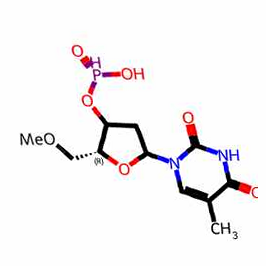 COC[C@H]1OC(n2cc(C)c(=O)[nH]c2=O)CC1O[PH](=O)O